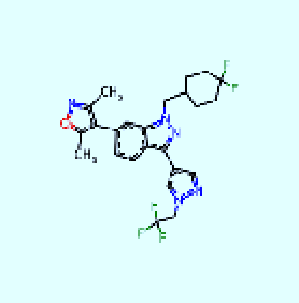 Cc1noc(C)c1-c1ccc2c(-c3cnn(CC(F)(F)F)c3)nn(CC3CCC(F)(F)CC3)c2c1